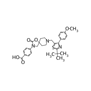 COc1ccc(-c2nc(C(C)(C)C)sc2CN2CCC3(CC2)CN(c2ccc(C(=O)O)cc2)C(=O)O3)cc1